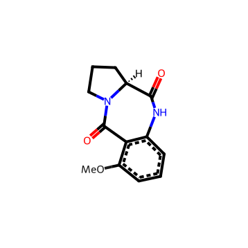 COc1cccc2c1C(=O)N1CCC[C@H]1C(=O)N2